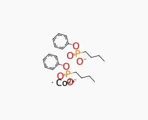 CCCCP(=O)([O-])Oc1ccccc1.CCCCP(=O)([O-])Oc1ccccc1.[Co+2]